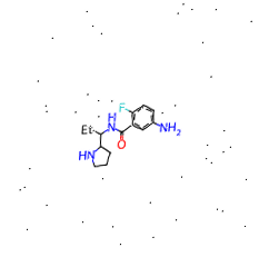 CCC(NC(=O)c1cc(N)ccc1F)C1CCCN1